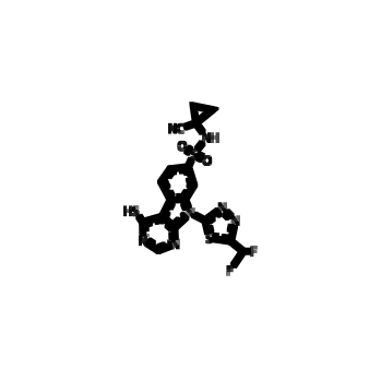 N#CC1(NS(=O)(=O)c2ccc3c4c(S)ncnc4n(-c4nnc(C(F)F)s4)c3c2)CC1